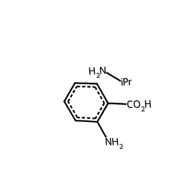 CC(C)N.Nc1ccccc1C(=O)O